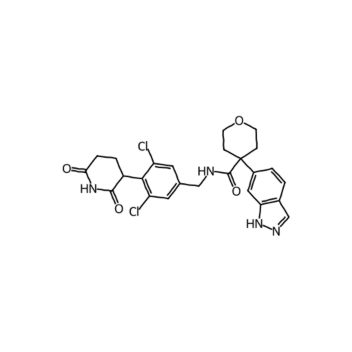 O=C1CCC(c2c(Cl)cc(CNC(=O)C3(c4ccc5cn[nH]c5c4)CCOCC3)cc2Cl)C(=O)N1